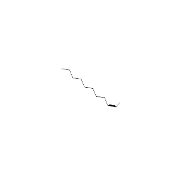 CC/C=C\CCCCCCCCl